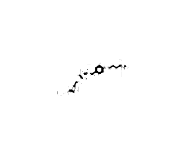 CC(C)(C)c1cnc(CSc2cnc(NC(=O)c3ccc(OCCCC(=O)NO)cc3)s2)o1